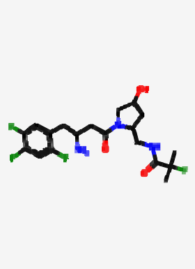 CC(C)(F)C(=O)NCC1CC(O)CN1C(=O)CC(N)Cc1cc(F)c(F)cc1F